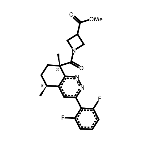 COC(=O)C1CN(C(=O)[C@@]2(C)CC[C@H](C)c3cc(-c4c(F)cccc4F)nnc32)C1